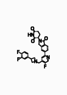 O=C1CCC(N2Cc3cc(-c4cc(CN5CC(c6ccc(F)c(F)c6)C5)c(F)cn4)ccc3C2=O)C(=O)N1